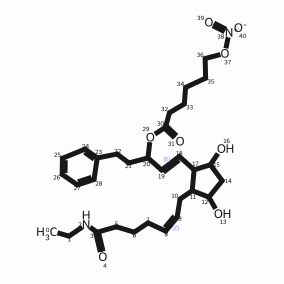 CCNC(=O)CCC/C=C\CC1C(O)CC(O)C1/C=C/C(CCc1ccccc1)OC(=O)CCCCCO[N+](=O)[O-]